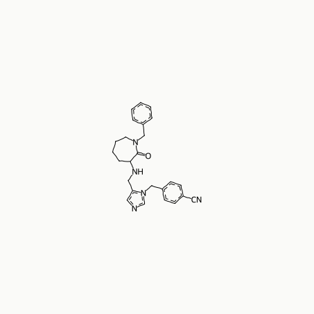 N#Cc1ccc(Cn2cncc2CNC2CCCCN(Cc3ccccc3)C2=O)cc1